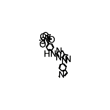 Cn1ccc2cc(-n3ncc4cnc(Nc5ccc(N(S(C)(=O)=O)S(C)(=O)=O)cc5)nc43)ccc21